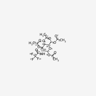 CC(=O)OC[C@H]1OC(OC(C)=O)[C@H](NC(=O)C(F)(F)F)[C@@H](OC(C)=O)[C@@H]1OC(C)=O